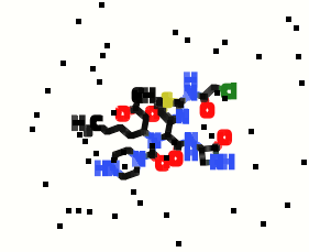 CCCCC(C(=O)C(C)=O)N(C(=O)N1CCNCC1)C(C(=O)NC1CNC1=O)c1csc(NC(=O)CCl)n1